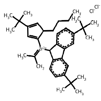 CCCCC1C=C(C(C)(C)C)C=[C]1[Zr+2](=[C](C)C)[CH]1c2ccc(C(C)(C)C)cc2-c2cc(C(C)(C)C)ccc21.[Cl-].[Cl-]